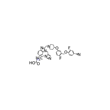 CCn1cncc1Cn1c(CN2CCC(Oc3ccc(F)c(COc4ccc(C#N)cc4F)c3)CC2)nc2ccc(/C=C/C(=O)O)cc21